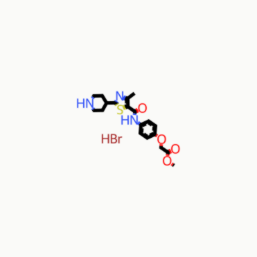 Br.COC(=O)COc1ccc(NC(=O)c2sc(C3CCNCC3)nc2C)cc1